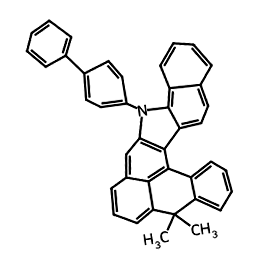 CC1(C)c2ccccc2-c2c3c1cccc3cc1c2c2ccc3ccccc3c2n1-c1ccc(-c2ccccc2)cc1